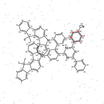 CC1(C)c2ccccc2-c2ccc3c(c21)c1ccccc1n3-c1ccc(-c2nc(-c3ccccc3)nc(-c3ccccc3)n2)c(-c2cc(-c3cccc(C#N)c3)ccc2-n2c3ccccc3c3c4c(ccc32)-c2ccccc2C4(C)C)c1